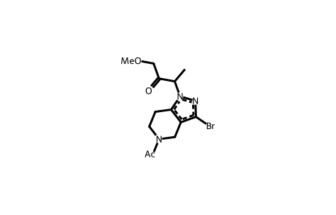 COCC(=O)C(C)n1nc(Br)c2c1CCN(C(C)=O)C2